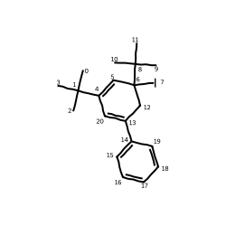 CC(C)(C)C1=CC(I)(C(C)(C)C)CC(c2ccccc2)=C1